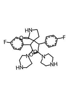 O=C(C(c1ccc(F)cc1)C1(C(C(=O)N2CCNCC2)c2ccc(F)cc2)CCNC1=O)N1CCNCC1